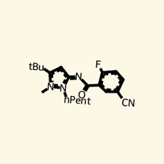 CCCCCn1c(=NC(=O)c2cc(C#N)ccc2F)cc(C(C)(C)C)n1C